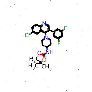 CC(C)(C)OC(=O)NC1CCN(c2c(-c3cc(F)cc(F)c3)cnc3ccc(Cl)cc23)CC1